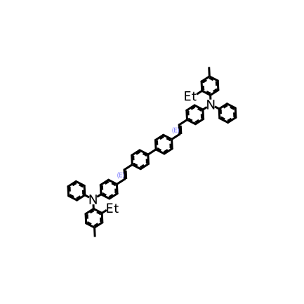 CCc1cc(C)ccc1N(c1ccccc1)c1ccc(/C=C/c2ccc(-c3ccc(/C=C/c4ccc(N(c5ccccc5)c5ccc(C)cc5CC)cc4)cc3)cc2)cc1